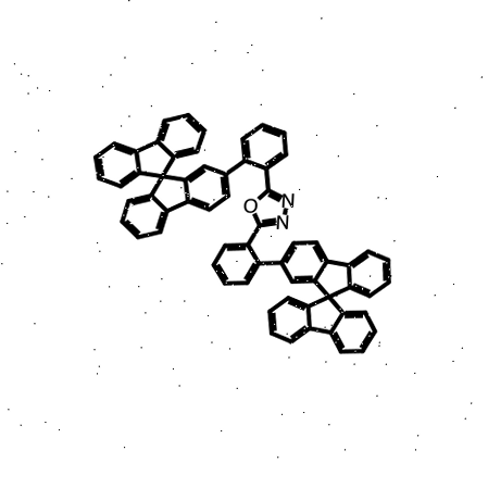 c1ccc(-c2nnc(-c3ccccc3-c3ccc4c(c3)C3(c5ccccc5-c5ccccc53)c3ccccc3-4)o2)c(-c2ccc3c(c2)C2(c4ccccc4-c4ccccc42)c2ccccc2-3)c1